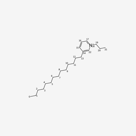 CCCCCCCCCCCCCCc1ccc[n+](CCC)c1